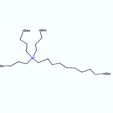 CCCCCCCCCCCCCCCCCCC[N+](CCCCCCCCCCCCC)(CCCCCCCCCCCCC)CCCCCCCCCCCCC